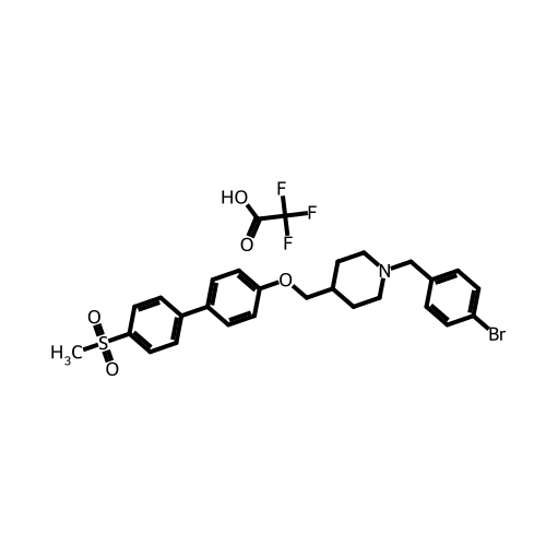 CS(=O)(=O)c1ccc(-c2ccc(OCC3CCN(Cc4ccc(Br)cc4)CC3)cc2)cc1.O=C(O)C(F)(F)F